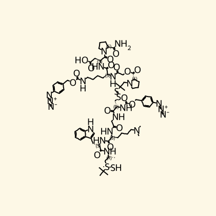 C[C@H](C[S](S)C(C)(C)C)NC(=O)[C@H](Cc1c[nH]c2ccccc12)NC(=O)[C@H](CCCCN(C)C)NC(=O)CNC(=O)[C@H](CSSC(C)(C)CN1CCC[C@H]1C(=O)OCC(=O)N[C@@H](CCCCNC(=O)OCc1ccc(N=[N+]=[N-])cc1)C(=O)N[C@@H](CC(=O)O)C(=O)N1CCC[C@H]1C(N)=O)NC(=O)OCc1ccc(N=[N+]=[N-])cc1